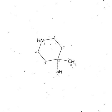 CC1(S)CCNCC1